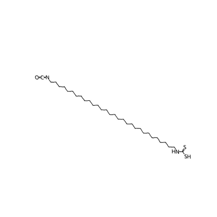 O=C=NCCCCCCCCCCCCCCCCCCCCCCCCCCCCCCNC(=S)S